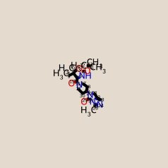 CCC(CC)C(NC(=O)OC(C)(C)C)C(=O)N1CCC(N2Cc3cnc(C)n3C2=O)CC1